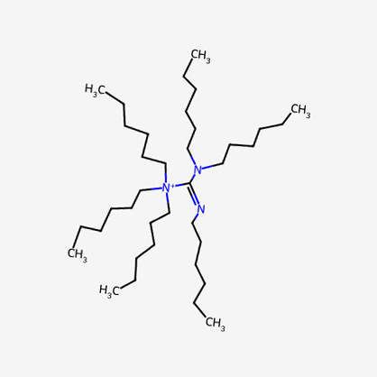 CCCCCCN=C(N(CCCCCC)CCCCCC)[N+](CCCCCC)(CCCCCC)CCCCCC